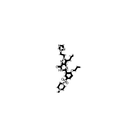 CCCOc1ccc(S(=O)(=O)N2CCN(C)CC2)cc1-c1nc2c(CCC)n(CCn3cncn3)nc2c(=O)[nH]1